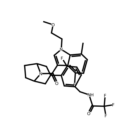 COCCn1cc(C(=O)N2C3CCC2CC(c2cc(CNC(=O)C(F)(F)F)ccc2F)C3)c2c(F)ccc(C)c21